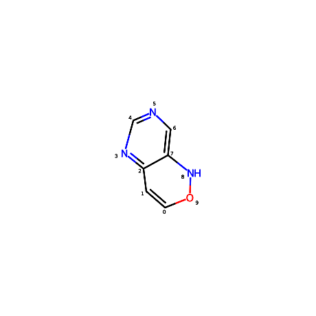 C1=Cc2ncncc2NO1